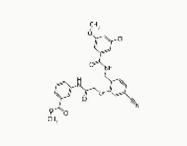 COC(=O)c1cccc(NC(=O)COc2cc(C#N)ccc2CNC(=O)c2cc(Cl)cc(OC)c2)c1